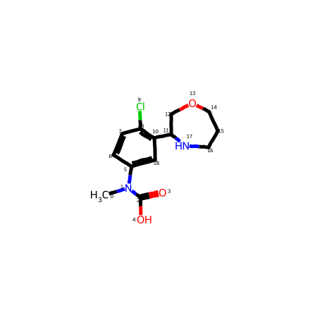 CN(C(=O)O)c1ccc(Cl)c(C2COCCCN2)c1